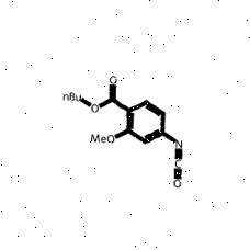 CCCCOC(=O)c1ccc(N=C=O)cc1OC